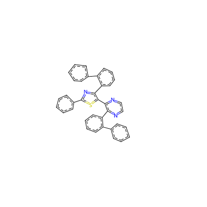 c1ccc(-c2nc(-c3ccccc3-c3ccccc3)c(-c3nccnc3-c3ccccc3-c3ccccc3)s2)cc1